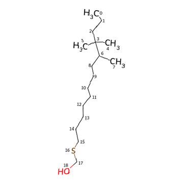 CCCC(C)(C)C(C)CCCCCCCCSCO